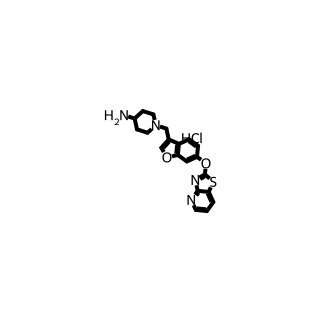 Cl.NC1CCN(Cc2coc3cc(Oc4nc5ncccc5s4)ccc23)CC1